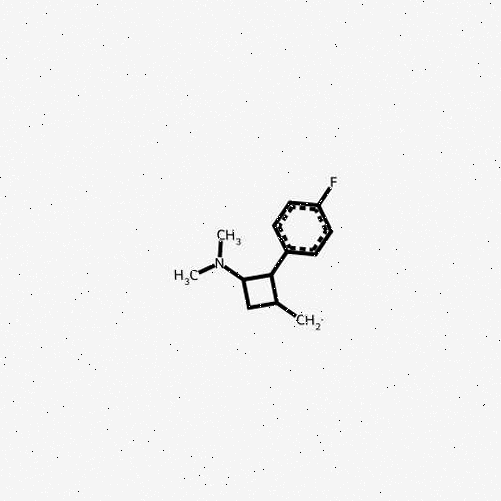 [CH2]C1CC(N(C)C)C1c1ccc(F)cc1